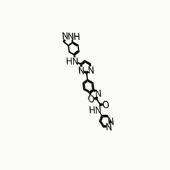 O=C(Nc1ccnnc1)c1nc2cc(-c3nccc(NC4=CC=C5NN=CC5C4)n3)ccc2o1